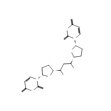 [O]C(CC([O])[C@H]1O[C@@H](n2ccc(=O)[nH]c2=O)[C@H](O)[C@@H]1O)[C@H]1O[C@@H](n2ccc(=O)[nH]c2=O)[C@H](O)[C@@H]1O